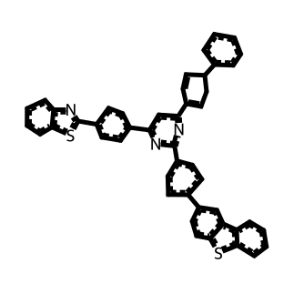 C1=CC(c2ccccc2)CC=C1c1cc(-c2ccc(-c3nc4ccccc4s3)cc2)nc(-c2ccc(-c3ccc4sc5ccccc5c4c3)cc2)n1